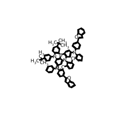 Cc1cccc(C)c1N1c2cc(N(c3ccccc3)c3ccc(-c4cc5ccccc5o4)cc3)ccc2B2c3cc(C(C)(C)C)ccc3N(c3ccc(C(C)(C)C)cc3)c3cc(N(c4ccccc4)c4ccc(-c5cc6ccccc6o5)cc4)cc1c32